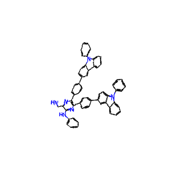 N=Cc1nc(-c2ccc(-c3ccc4c(c3)c3ccccc3n4-c3ccccc3)cc2)c(-c2ccc(-c3ccc4c(c3)c3ccccc3n4-c3ccccc3)cc2)nc1Nc1ccccc1